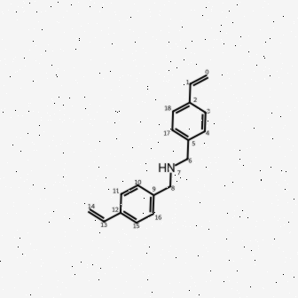 C=Cc1ccc(CNCc2ccc(C=C)cc2)cc1